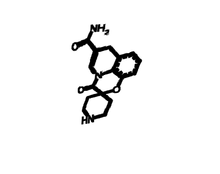 NC(=O)C1=CN2C(=O)C3(CCNCC3)Oc3cccc(c32)C1